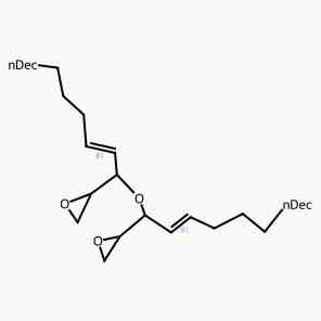 CCCCCCCCCCCCC/C=C/C(OC(/C=C/CCCCCCCCCCCCC)C1CO1)C1CO1